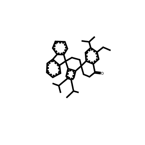 CCc1cc2c(cc1C(C)C)C1(CCC2=O)CCC2(c3ccccc3-c3ccccc32)c2cc(C(C)C)c(C(C)C)cc21